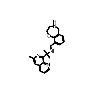 Cc1cc2cccnc2c(C(C)(C)NCc2cccc3c2OCCNC3)n1